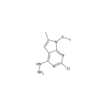 Cc1cc2c(NN)nc(Cl)nc2n1SI